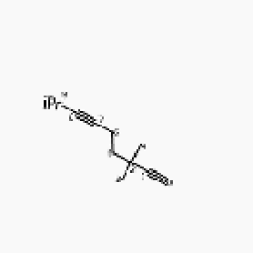 [C]#CC(C)(C)CCC#CC(C)C